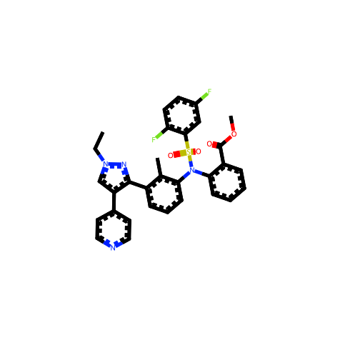 CCn1cc(-c2ccncc2)c(-c2cccc(N(c3ccccc3C(=O)OC)S(=O)(=O)c3cc(F)ccc3F)c2C)n1